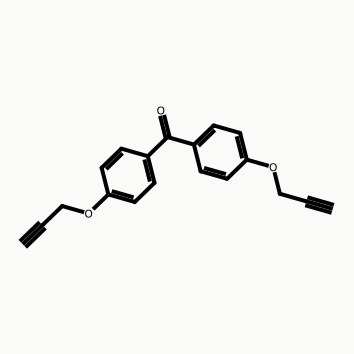 C#CCOc1ccc(C(=O)c2ccc(OCC#C)cc2)cc1